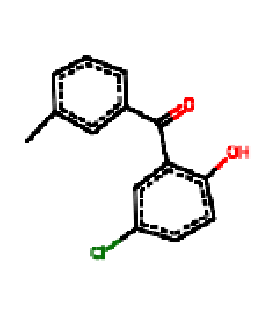 Cc1cccc(C(=O)c2cc(Cl)ccc2O)c1